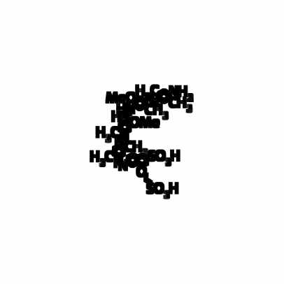 COc1cc(N=Nc2cc(C)c(N)cc2C)c(C)cc1NCNc1cc(C)c(N=Nc2cc(C)c(/N=N\c3ccc4cc(S(=O)(=O)O)cc(OCCCS(=O)(=O)O)c4c3)cc2C)cc1OC